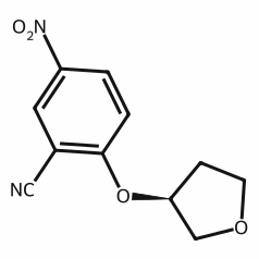 N#Cc1cc([N+](=O)[O-])ccc1O[C@H]1CCOC1